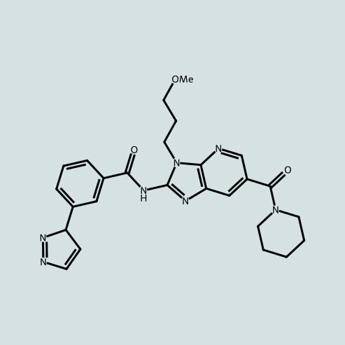 COCCCn1c(NC(=O)c2cccc(C3C=CN=N3)c2)nc2cc(C(=O)N3CCCCC3)cnc21